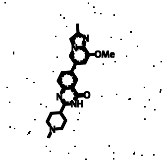 COc1cc(-c2ccc3nc(C4CCN(C)CC4)[nH]c(=O)c3c2)cn2cc(C)nc12